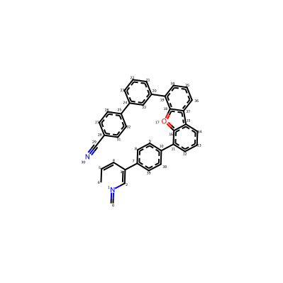 C=N/C=C(\C=C/C)c1ccc(-c2cccc3c2oc2c(-c4cccc(-c5ccc(C#N)cc5)c4)cccc23)cc1